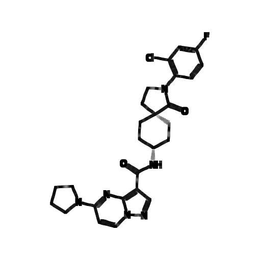 O=C(N[C@H]1CC[C@@]2(CCN(c3ccc(F)cc3Cl)C2=O)CC1)c1cnn2ccc(N3CCCC3)nc12